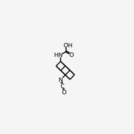 O=C=NC12C3C4C1C1C2C3C41NC(=O)O